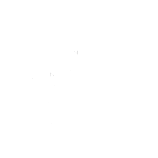 CCN(C(=O)CCC(C)=O)C1c2ccccc2N(C(=O)OCc2ccccc2)C2CCCC12